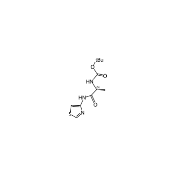 C[C@H](NC(=O)OC(C)(C)C)C(=O)Nc1cscn1